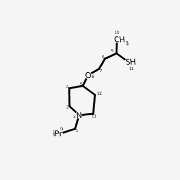 CC(C)CN1CCC(OCCC(C)S)CC1